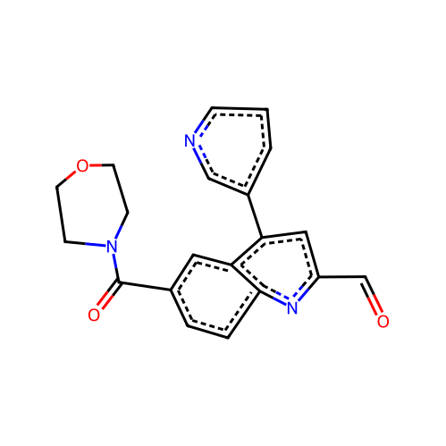 O=Cc1cc(-c2cccnc2)c2cc(C(=O)N3CCOCC3)ccc2n1